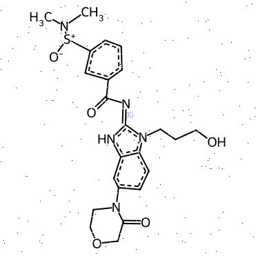 CN(C)[S+]([O-])c1cccc(C(=O)/N=c2\[nH]c3cc(N4CCOCC4=O)ccc3n2CCCO)c1